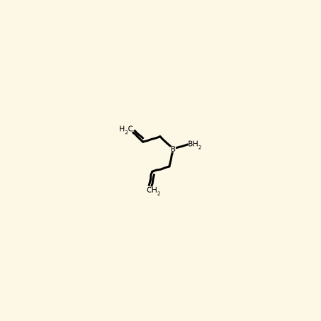 BB(CC=C)CC=C